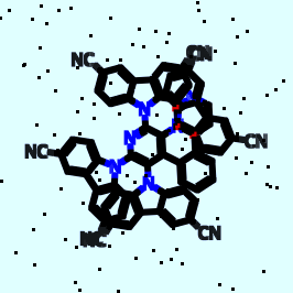 N#Cc1ccc2c(c1)c1cc(C#N)ccc1n2-c1nc(-n2c3ccc(C#N)cc3c3cc(C#N)ccc32)c(-n2c3ccc(C#N)cc3c3cc(C#N)ccc32)c(-c2ccccc2-c2ccncc2)c1-n1c2ccc(C#N)cc2c2cc(C#N)ccc21